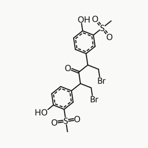 CS(=O)(=O)c1cc(C(CBr)C(=O)C(CBr)c2ccc(O)c(S(C)(=O)=O)c2)ccc1O